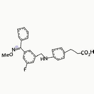 CO/N=C(/c1ccccc1)c1cc(F)cc(CNc2ccc(CCC(=O)O)cc2)c1